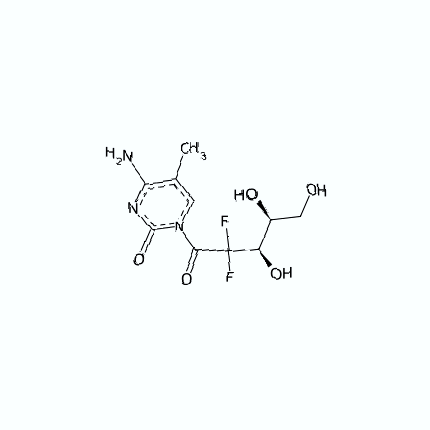 Cc1cn(C(=O)C(F)(F)[C@H](O)[C@@H](O)CO)c(=O)nc1N